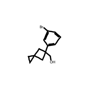 OCC1(c2cccc(Br)c2)CC2(CC2)C1